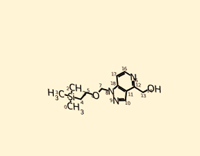 C[Si](C)(C)CCOCn1ncc2c(CO)nccc21